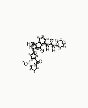 COC[C@H]1CCCN1C(=O)c1ccc(-c2n[nH]c3c2C(=O)c2c(NC(=O)NN4CCOCC4)cccc2-3)s1